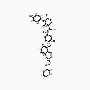 Cc1ccc(C(=O)Nc2ccc(Oc3ccnc4cc(OCc5ccccc5)cnc34)c(F)c2)c(=O)n1-c1ccc(F)cc1